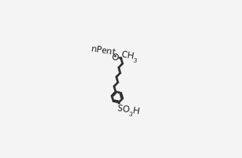 CCCCCOC(C)CCCCCCc1ccc(S(=O)(=O)O)cc1